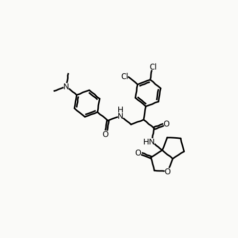 CN(C)c1ccc(C(=O)NCC(C(=O)NC23CCCC2OCC3=O)c2ccc(Cl)c(Cl)c2)cc1